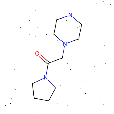 O=C(CN1CC[N]CC1)N1CCCC1